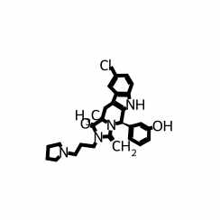 C=C1N(CCCN2CCCC2)C(=O)[C@]2(C)Cc3c([nH]c4ccc(Cl)cc34)[C@@H](c3cccc(O)c3)N12